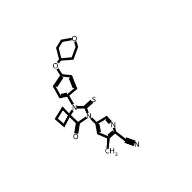 Cc1cc(N2C(=O)C3(CCC3)N(c3ccc(OC4CCOCC4)cc3)C2=S)cnc1C#N